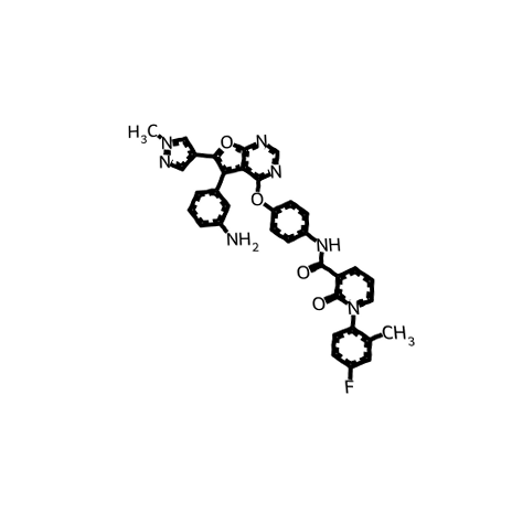 Cc1cc(F)ccc1-n1cccc(C(=O)Nc2ccc(Oc3ncnc4oc(-c5cnn(C)c5)c(-c5cccc(N)c5)c34)cc2)c1=O